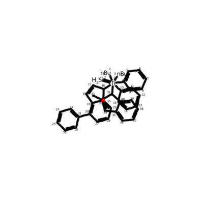 CCC[CH2][Ti](=[SiH2])([CH2]CCC)([c]1ccccc1)([c]1ccccc1)([CH]1C=Cc2c(-c3ccccc3)cccc21)[CH]1C(C)=Cc2ccccc21